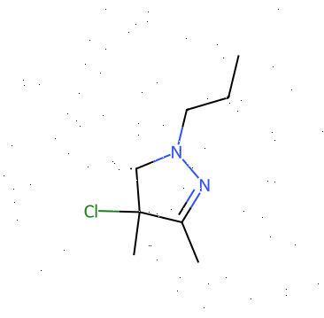 CCCN1[CH]C(C)(Cl)C(C)=N1